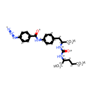 [N-]=[N+]=Nc1ccc(C(=O)Nc2ccc(CC(NC(=O)NC(CCC(=O)O)C(=O)O)C(=O)O)cc2)cc1